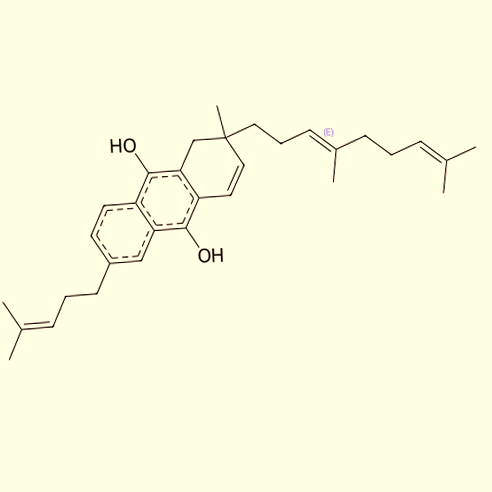 CC(C)=CCC/C(C)=C/CCC1(C)C=Cc2c(c(O)c3ccc(CCC=C(C)C)cc3c2O)C1